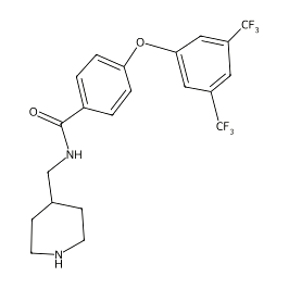 O=C(NCC1CCNCC1)c1ccc(Oc2cc(C(F)(F)F)cc(C(F)(F)F)c2)cc1